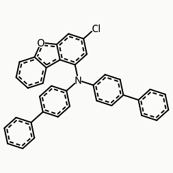 Clc1cc(N(c2ccc(-c3ccccc3)cc2)c2ccc(-c3ccccc3)cc2)c2c(c1)oc1ccccc12